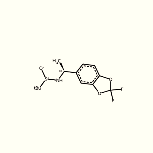 C[C@H](N[S+]([O-])C(C)(C)C)c1ccc2c(c1)OC(F)(F)O2